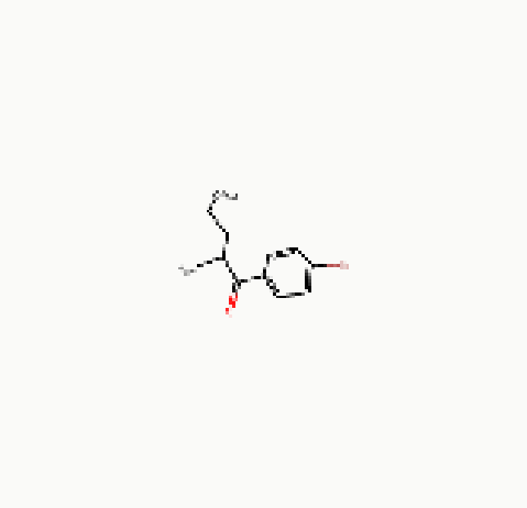 COCCC(C)C(=O)c1ccc(Br)cc1